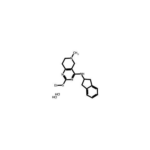 CCSc1nc2c(c(NC3Cc4ccccc4C3)n1)CN(C)CC2.Cl.Cl